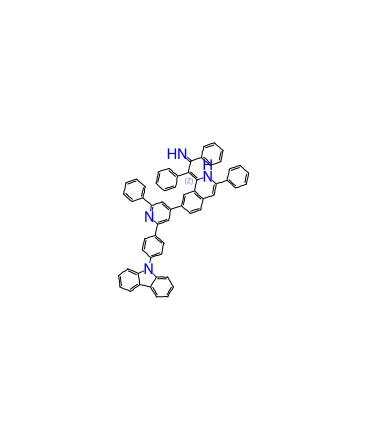 N=C(/C(=C1\NC(c2ccccc2)=Cc2ccc(-c3cc(-c4ccccc4)nc(-c4ccc(-n5c6ccccc6c6ccccc65)cc4)c3)cc21)c1ccccc1)c1ccccc1